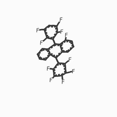 Fc1cc(F)c(F)c(-c2c3ccccc3c(-c3c(F)c(F)c(F)c(F)c3F)c3cccc(F)c23)c1F